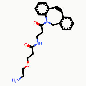 NCCOCCC(=O)NCCC(=O)N1Cc2ccccc2C#Cc2ccccc21